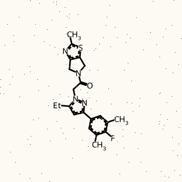 CCc1cc(-c2cc(C)c(F)c(C)c2)nn1CC(=O)N1Cc2nc(C)sc2C1